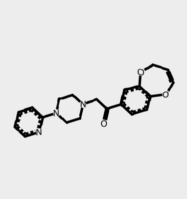 O=C(CN1CCN(c2ccccn2)CC1)c1ccc2c(c1)OCC=CO2